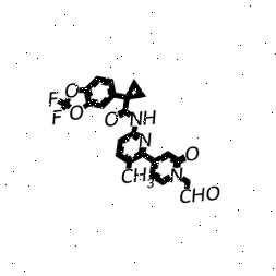 Cc1ccc(NC(=O)C2(c3ccc4c(c3)OC(F)(F)O4)CC2)nc1-c1ccn(CC=O)c(=O)c1